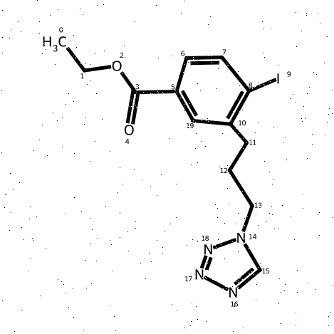 CCOC(=O)c1ccc(I)c(CCCn2cnnn2)c1